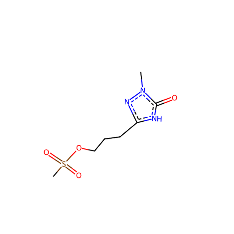 Cn1nc(CCCOS(C)(=O)=O)[nH]c1=O